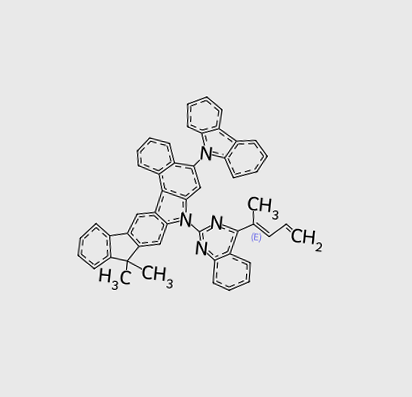 C=C/C=C(\C)c1nc(-n2c3cc4c(cc3c3c5ccccc5c(-n5c6ccccc6c6ccccc65)cc32)-c2ccccc2C4(C)C)nc2ccccc12